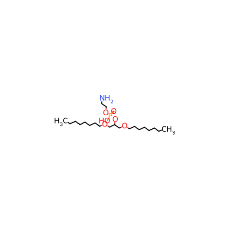 CCCCCCCCOCC(COCCCCCCCC)OP(=O)(O)OCCN